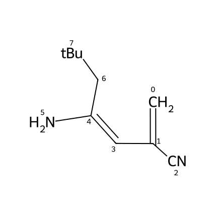 C=C(C#N)/C=C(/N)CC(C)(C)C